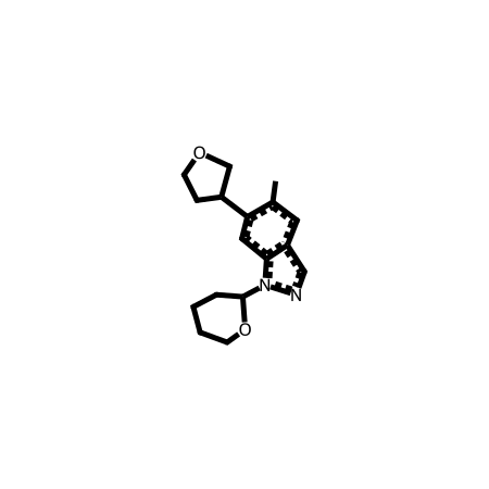 Cc1cc2cnn(C3CCCCO3)c2cc1C1CCOC1